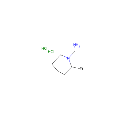 CCC1CCCCN1CN.Cl.Cl